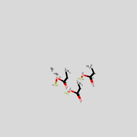 CCC(=O)OS.CCC(=O)OS.CCC(=O)OS.[Bi].[Bi]